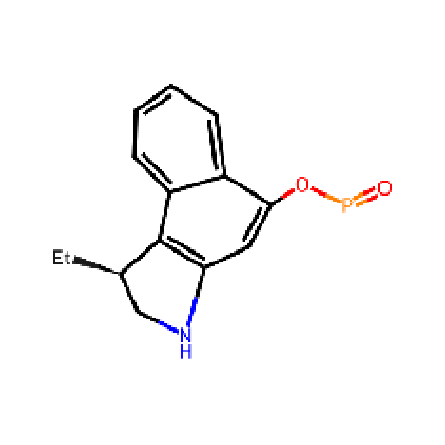 CC[C@@H]1CNc2cc(OP=O)c3ccccc3c21